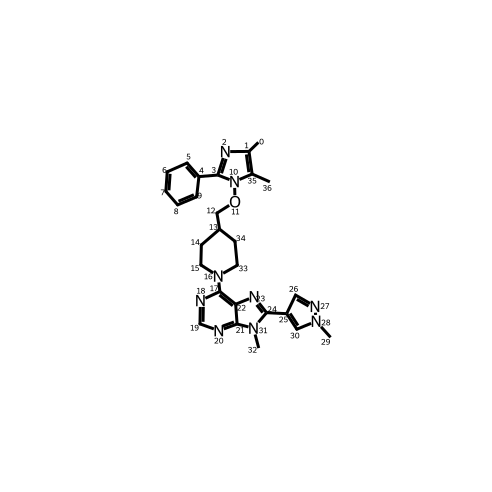 Cc1nc(-c2ccccc2)n(OCC2CCN(c3ncnc4c3nc(-c3cnn(C)c3)n4C)CC2)c1C